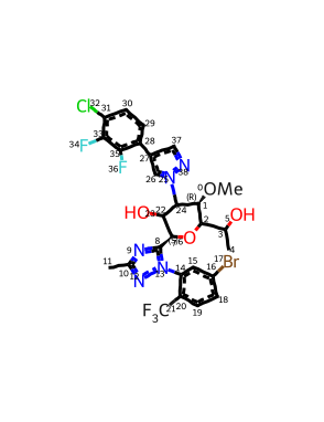 CO[C@H]1C(C(C)O)O[C@@H](c2nc(C)nn2-c2cc(Br)ccc2C(F)(F)F)C(O)C1n1cc(-c2ccc(Cl)c(F)c2F)cn1